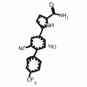 Cl.N#Cc1cc(-c2ccc(C(N)=O)[nH]2)ccc1-c1ccc(C(F)(F)F)cc1